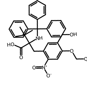 COCOc1cc([N+](=O)[O-])c(CC(NC(c2ccccc2)(c2ccccc2)c2ccccc2)(C(=O)O)C(C)(C)C)cc1CO